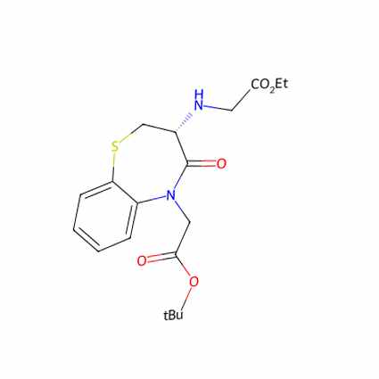 CCOC(=O)CN[C@H]1CSc2ccccc2N(CC(=O)OC(C)(C)C)C1=O